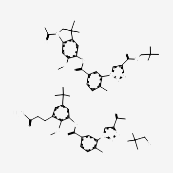 CC(C)(C)CN.COc1c(CCC(N)=O)cc(C(C)(C)C)cc1NC(=O)c1ccc(C)c(-n2cc(C(=O)O)nn2)c1.COc1cc2c(cc1NC(=O)c1ccc(C)c(-n3cc(C(=O)NCC(C)(C)C)nn3)c1)C(C)(C)CN2C(C)=O